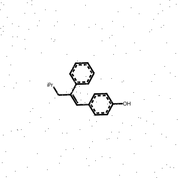 CC(C)CC(=Cc1ccc(O)cc1)c1ccccc1